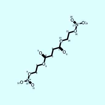 O=C(CCC(=O)OCCO[N+](=O)[O-])OCCO[N+](=O)[O-]